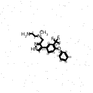 CN(CCN)Cc1n[nH]cc1-c1ccc(Oc2ccccc2)c(C(F)(F)F)c1